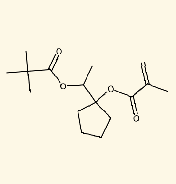 C=C(C)C(=O)OC1(C(C)OC(=O)C(C)(C)C)CCCC1